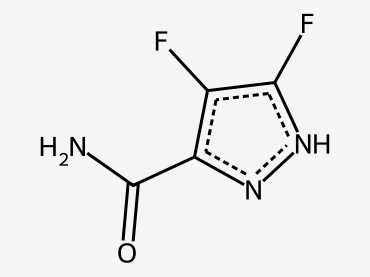 NC(=O)c1n[nH]c(F)c1F